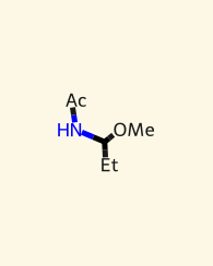 CCC(NC(C)=O)OC